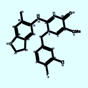 COc1cn(Cc2ccc(F)c(Cl)c2)c(Nc2cc3c(cc2C)OCC3)nc1=O